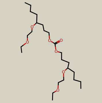 CCCCC(CCCOC(=O)OCCCC(CCCC)OCCOCC)OCCOCC